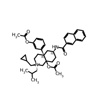 CC(=O)Oc1cccc([C@]23CC[N@+](CC(C)C)(CC4CC4)CC2(OC(C)=O)CC[C@H](NC(=O)c2ccc4ccccc4c2)C3)c1